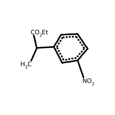 CCOC(=O)C(C)c1cccc([N+](=O)[O-])c1